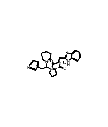 NC(=O)[C@@H]1CCC[N+]1(C(=O)CCc1nc2ccccc2[nH]1)C(Cc1cccnc1)[N+]1=CCCCC1